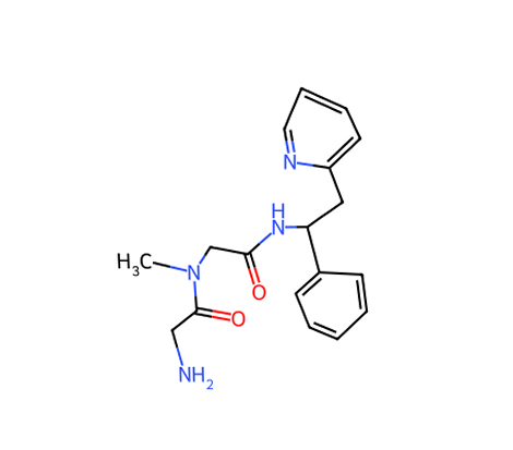 CN(CC(=O)NC(Cc1ccccn1)c1ccccc1)C(=O)CN